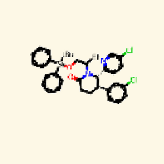 CCC(CO[Si](c1ccccc1)(c1ccccc1)C(C)(C)C)N1C(=O)CC[C@H](c2cccc(Cl)c2)[C@H]1c1ccc(Cl)cn1